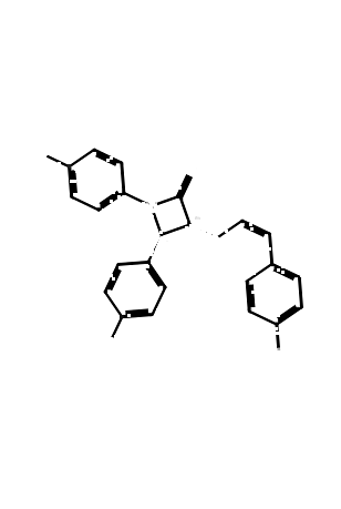 O=C1[C@H](C/C=C\c2ccc(F)cc2)[C@@H](c2ccc(O)cc2)N1c1ccc(F)cc1